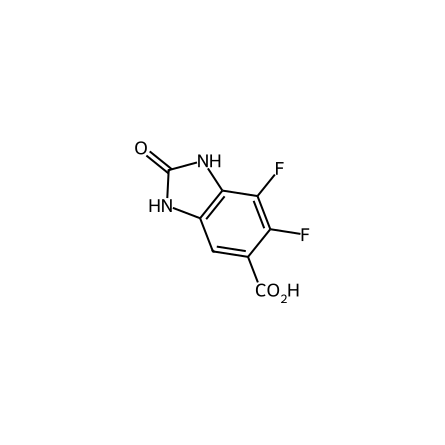 O=C(O)c1cc2[nH]c(=O)[nH]c2c(F)c1F